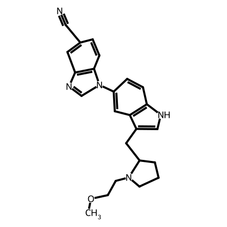 COCCN1CCCC1Cc1c[nH]c2ccc(-n3cnc4cc(C#N)ccc43)cc12